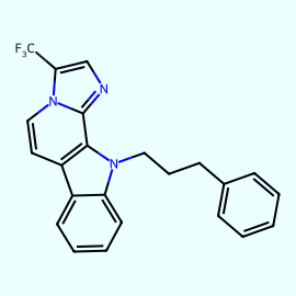 FC(F)(F)c1cnc2c3c(ccn12)c1ccccc1n3CCCc1ccccc1